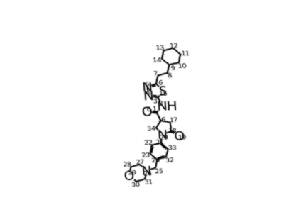 O=C(Nc1nnc(CCC2CCCCC2)s1)C1CC(=O)N(c2ccc(CN3CCOCC3)cc2)C1